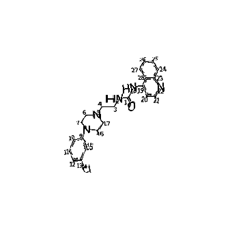 O=C(NCCN1CCN(c2cccc(Cl)c2)CC1)Nc1ccnc2ccccc12